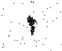 CC(Oc1c(N)ncc2c(-c3cnn(C4CCNCC4)c3)coc12)c1c(Br)ccc(F)c1Cl